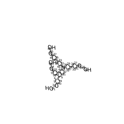 OCCOc1ccc(C(=Cc2ccc(N(c3ccc(-c4ccc(OCCO)cc4)cc3)c3ccc(-c4ccc(OCCO)cc4)cc3)cc2)c2ccc(OCCO)cc2)cc1